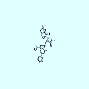 C#C[C@@H]1[C@@H](C)C[C@@H](C(=O)Nc2nc(Br)ccc2C)N1CCn1cc(C(C)=O)c2cc(-c3cnc(C)nc3)cc(C)c21